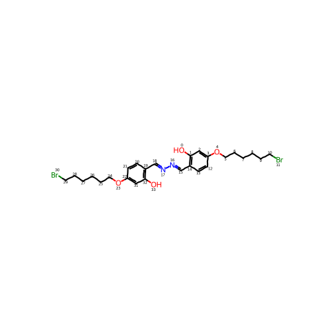 Oc1cc(OCCCCCCBr)ccc1C=NN=Cc1ccc(OCCCCCCBr)cc1O